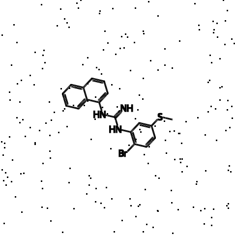 CSc1ccc(Br)c(NC(=N)Nc2cccc3ccccc23)c1